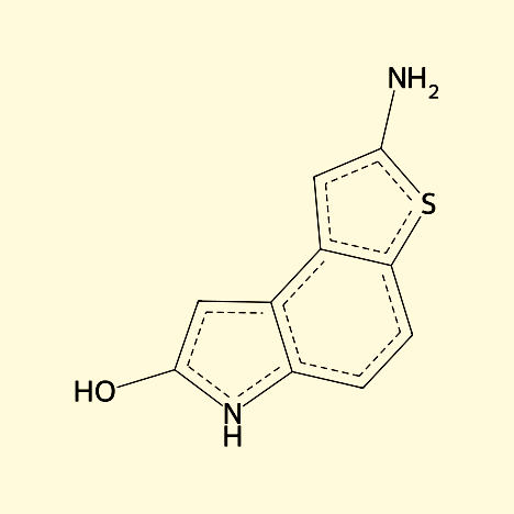 Nc1cc2c(ccc3[nH]c(O)cc32)s1